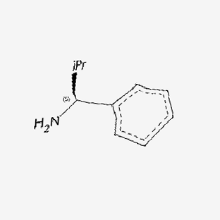 CC(C)[C@H](N)c1ccccc1